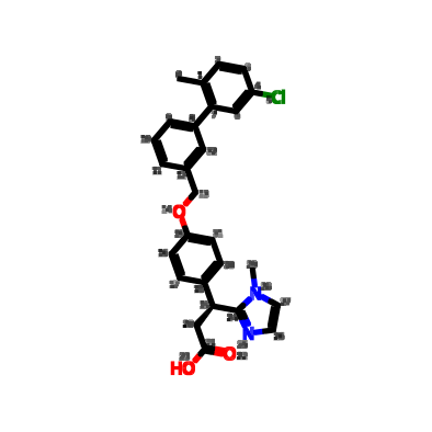 Cc1ccc(Cl)cc1-c1cccc(COc2ccc([C@H](CC(=O)O)c3nccn3C)cc2)c1